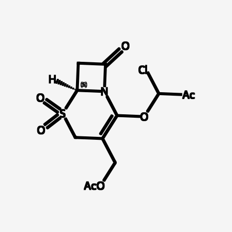 CC(=O)OCC1=C(OC(Cl)C(C)=O)N2C(=O)C[C@@H]2S(=O)(=O)C1